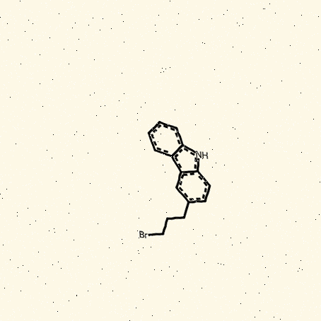 BrCCCc1ccc2[nH]c3ccccc3c2c1